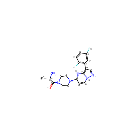 CC(C)[C@H](N)C(=O)N1CCN(c2ccn3ncc(-c4cc(F)ccc4F)c3n2)CC1